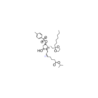 CCCCCCCC1(CC[C@@H]2[C@@H](C/C=C\CCCC(=O)OC(C)C)[C@@H](O)C[C@H]2OS(=O)(=O)c2ccc(C)cc2)OCCO1